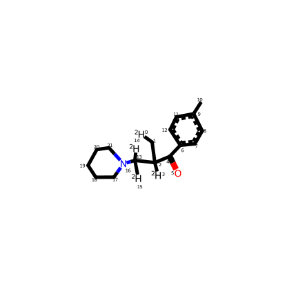 [2H]CC([2H])(C(=O)c1ccc(C)cc1)C([2H])([2H])N1CCCCC1